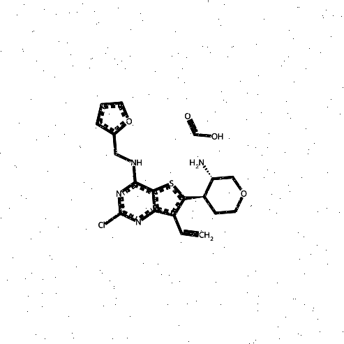 C=Cc1c([C@@H]2CCOC[C@H]2N)sc2c(NCc3ccco3)nc(Cl)nc12.O=CO